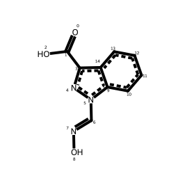 O=C(O)c1nn(C=NO)c2ccccc12